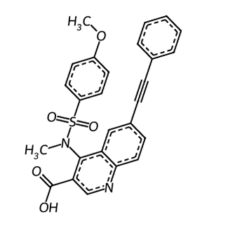 COc1ccc(S(=O)(=O)N(C)c2c(C(=O)O)cnc3ccc(C#Cc4ccccc4)cc23)cc1